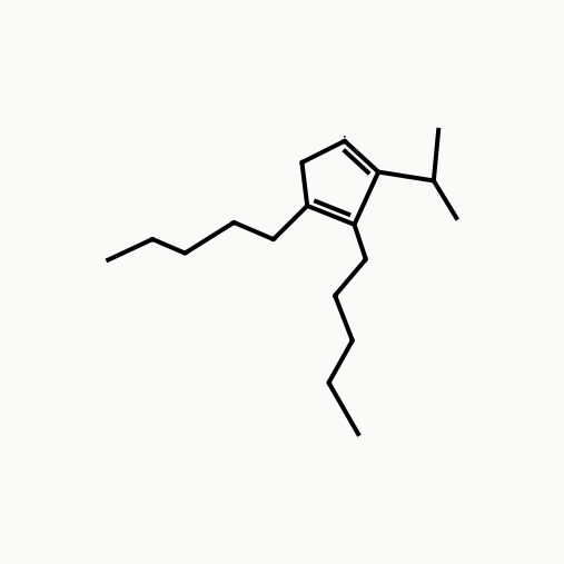 CCCCCC1=C(CCCCC)C(C(C)C)=[C]C1